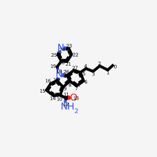 CCCCCc1c[c]c2c3c(C(N)=O)cccc3n(Cc3cccnc3)c2c1